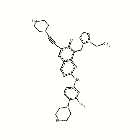 CCn1cccc1Cn1c(=O)c(C#CC2CCNCC2)cc2cnc(Nc3ccc(N4CCNCC4)c(C)c3)nc21